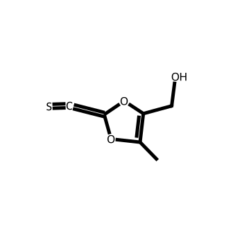 CC1=C(CO)OC(=C=S)O1